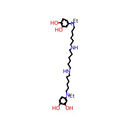 CCN(CCCCCCNCCCCCCNCCCCCCN(CC)c1ccc(O)c(O)c1)c1ccc(O)c(O)c1